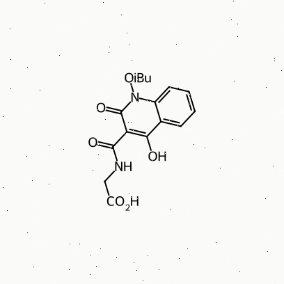 CC(C)COn1c(=O)c(C(=O)NCC(=O)O)c(O)c2ccccc21